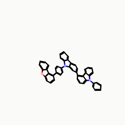 c1ccc(-n2c3ccccc3c3c(-c4ccc5c6ccccc6n(-c6ccc(-c7cccc8oc9ccccc9c78)cc6)c5c4)cccc32)cc1